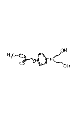 COC(=O)COc1ccc(N(CCO)CCO)cc1